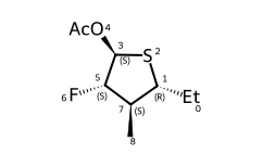 CC[C@H]1S[C@H](OC(C)=O)[C@@H](F)[C@@H]1C